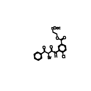 CCCCCCCCCCCCOC(=O)c1ccc(Cl)c(NC(=O)C(Br)C(=O)c2ccccc2)c1